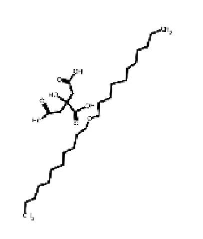 CCCCCCCCCCCOCCCCCCCCCCC.O=C(O)CC(O)(CC(=O)O)C(=O)O